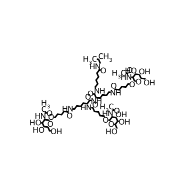 CC(=O)NC1C(OCCCCC(=O)NCCCCC(NC(=O)CCCCOC2OC(CO)C(O)C(O)C2NC(C)=O)C(=O)NC(CCCCNC(=O)CCCCOC2OC(CO)C(O)C(O)C2NC(C)=O)C(=O)NCCCCCC(=O)NCC(C)C)OC(CO)C(O)C1O